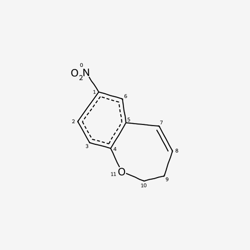 O=[N+]([O-])c1ccc2c(c1)C=CCCO2